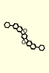 c1cc2cc3oc4cc5c(cc4c3cc2cc1C1CCCCC1)oc1cc2ccc(C3CCCCC3)cc2cc15